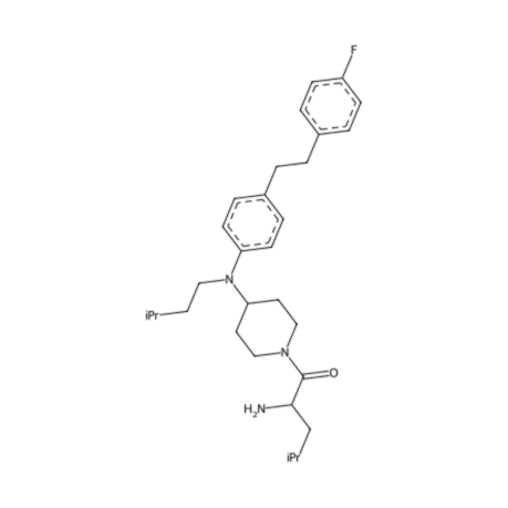 CC(C)CCN(c1ccc(CCc2ccc(F)cc2)cc1)C1CCN(C(=O)C(N)CC(C)C)CC1